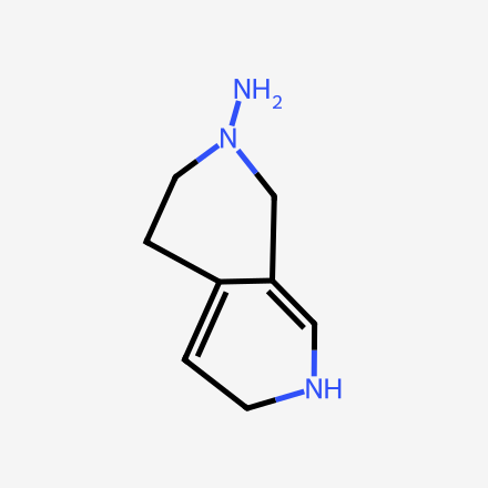 NN1CCC2=CCNC=C2C1